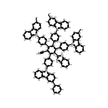 Cc1ccc2c(c1)c1ccccc1n2-c1ccc(-c2c(C#N)c(-c3ccc(-n4c5ccccc5c5cc(-c6ccccc6)ccc54)cc3)c(-c3nc4ccccc4o3)c(-c3ccc(-n4c5ccccc5c5cc(C)ccc54)cc3)c2-c2ccc(-n3c4ccccc4c4cc(C)ccc43)cc2)cc1